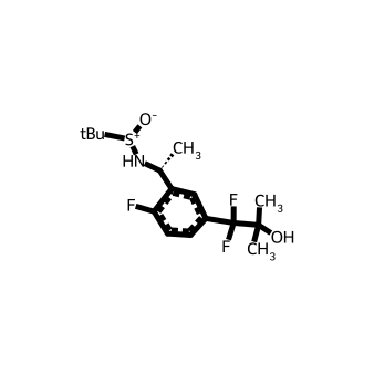 C[C@@H](N[S+]([O-])C(C)(C)C)c1cc(C(F)(F)C(C)(C)O)ccc1F